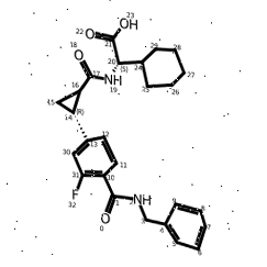 O=C(NCc1ccccc1)c1ccc([C@@H]2CC2C(=O)N[C@H](C(=O)O)C2CCCCC2)cc1F